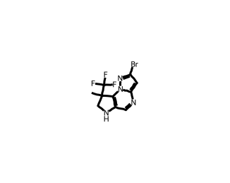 CC1(C(F)(F)F)CNc2cnc3cc(Br)nn3c21